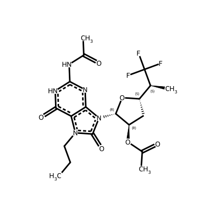 CCCn1c(=O)n([C@@H]2O[C@H]([C@H](C)C(F)(F)F)C[C@H]2OC(C)=O)c2nc(NC(C)=O)[nH]c(=O)c21